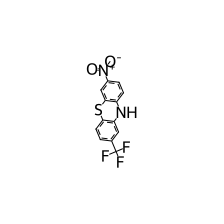 O=[N+]([O-])c1ccc2c(c1)Sc1ccc(C(F)(F)F)cc1N2